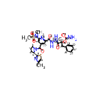 Cc1csc([C@H]2CCCN2C(=O)c2cc(C(=O)NNC(=O)[C@@](C)(Cc3ccccc3)OC(N)=O)nc(N(C)S(C)(=O)=O)c2)n1